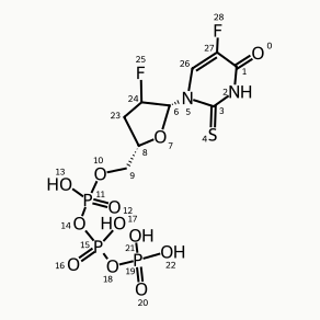 O=c1[nH]c(=S)n([C@@H]2O[C@H](COP(=O)(O)OP(=O)(O)OP(=O)(O)O)CC2F)cc1F